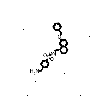 NCc1ccc(S(=O)(=O)ON=CC2CCCc3ccc(OCc4ccccc4)cc32)cc1